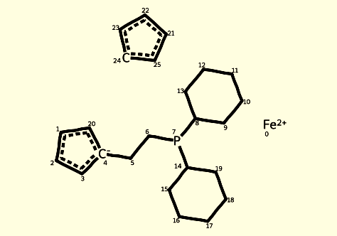 [Fe+2].c1cc[c-](CCP(C2CCCCC2)C2CCCCC2)c1.c1cc[cH-]c1